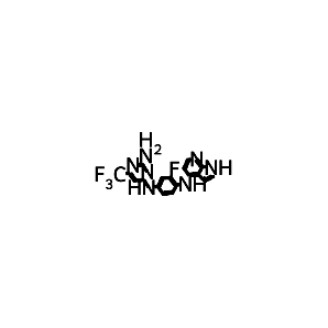 Nc1nc(Nc2ccc(Nc3ccnc4[nH]ccc34)c(F)c2)cc(C(F)(F)F)n1